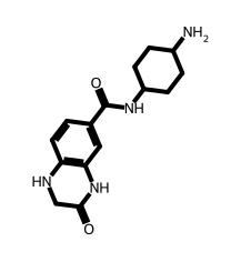 NC1CCC(NC(=O)c2ccc3c(c2)NC(=O)CN3)CC1